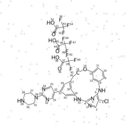 Clc1cnc2nc1Nc1cccc(c1)OCCc1cc(cc(-c3cnc(N4CCNCC4)nc3)c1)N2.O=C(O)C(F)(F)F.O=C(O)C(F)(F)F.O=C(O)C(F)(F)F